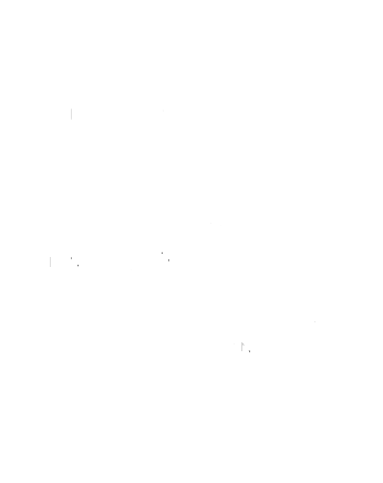 CC1=C(O)C=CC(C)(OCC2(CN(C)C)CC2)C1n1cccc1N